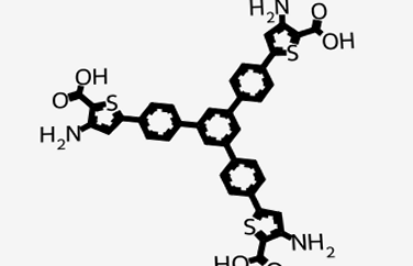 Nc1cc(-c2ccc(-c3cc(-c4ccc(-c5cc(N)c(C(=O)O)s5)cc4)cc(-c4ccc(-c5cc(N)c(C(=O)O)s5)cc4)c3)cc2)sc1C(=O)O